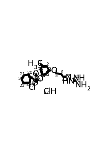 Cc1cc(OCCC=NNC(=N)N)cc(OS(=O)(=O)c2ccccc2Cl)c1.Cl